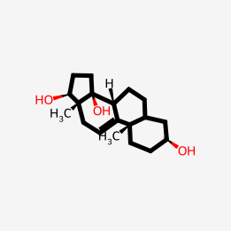 C[C@]12CC[C@H](O)CC1CC[C@@H]1C2=CC[C@]2(C)[C@@H](O)CC[C@]12O